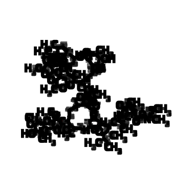 CC[C@H](C)[C@H]1O[C@]2(C=C[C@@H]1C)C[C@@H]1C[C@@H](C/C=C(\C)[C@@H](O[C@H]3C[C@H](OC)[C@@H](O[C@H]4C[C@H](OC)[C@@H](O)[C@H](C)O4)[C@H](C)O3)[C@@H](C)/C=C/C=C3\CO[C@@H]4[C@H](O)C(C)=C[C@@H](C(=O)O1)[C@]34O)O2.CO[C@H]1C[C@H](O[C@H]2[C@H](C)O[C@@H](O[C@@H]3/C(C)=C/C[C@@H]4C[C@@H](C[C@]5(C=C[C@H](C)[C@@H](C(C)C)O5)O4)OC(=O)[C@@H]4C=C(C)[C@@H](O)[C@H]5OC/C(=C\C=C\[C@@H]3C)[C@]54O)C[C@@H]2OC)O[C@@H](C)[C@@H]1O.CS/C(C)=N\OC(=O)N(C)SN(C)C(=O)O/N=C(/C)SC